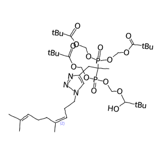 CC(C)=CCC/C(C)=C\CCn1cc(CC(C)(P(=O)(OCOC(=O)C(C)(C)C)OCOC(=O)C(C)(C)C)P(=O)(OCOC(=O)C(C)(C)C)OCOC(O)C(C)(C)C)nn1